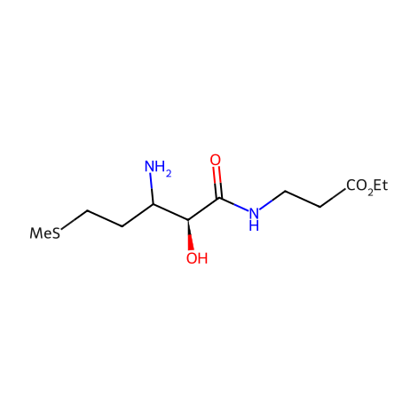 CCOC(=O)CCNC(=O)[C@@H](O)C(N)CCSC